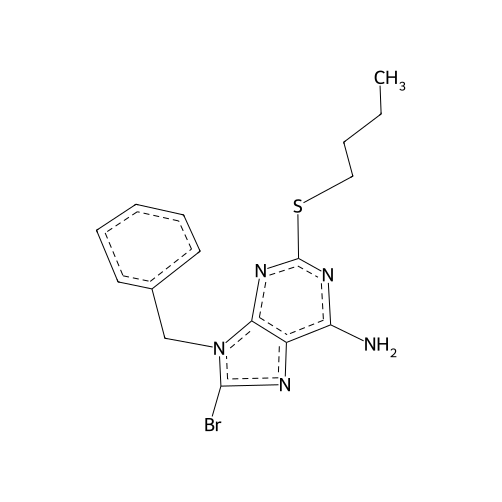 CCCCSc1nc(N)c2nc(Br)n(Cc3ccccc3)c2n1